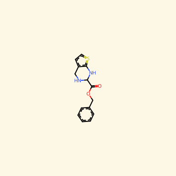 O=C(OCc1ccccc1)C1NCc2ccsc2N1